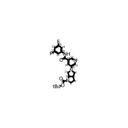 CC(C)(C)OC(=O)N1CCC2CN(c3cncc(C(=O)Nc4cc(F)cc(F)c4)c3)CC21